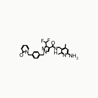 Cc1cc(N)nc(C)c1CNC(=O)c1cn(Cc2ccc(Cn3ccccc3=O)cc2)nc1C(F)F